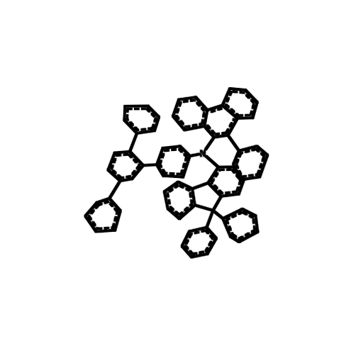 c1ccc(-c2ccc(-c3ccccc3)c(-c3ccc(N(c4cccc5c4-c4ccccc4C5(c4ccccc4)c4ccccc4)c4c(-c5ccccc5)c5ccccc5c5ccccc45)cc3)c2)cc1